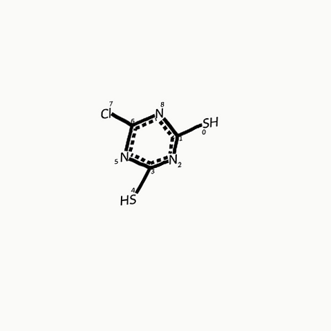 Sc1nc(S)nc(Cl)n1